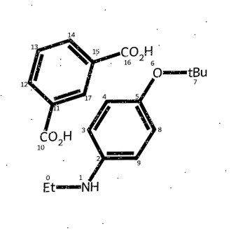 CCNc1ccc(OC(C)(C)C)cc1.O=C(O)c1cccc(C(=O)O)c1